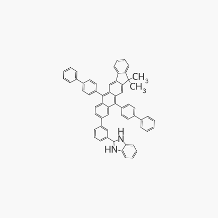 CC1(C)c2ccccc2-c2cc3c(-c4ccc(-c5ccccc5)cc4)c4ccc(-c5cccc(C6Nc7ccccc7N6)c5)cc4c(-c4ccc(-c5ccccc5)cc4)c3cc21